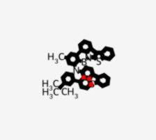 Cc1cc2c3c(c1)N(c1ccc(C(C)(C)C)cc1-c1ccccc1)c1cc4sc5ccccc5c4cc1B3n1c3sc4ccccc4c3c3cccc-2c31